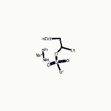 CCCCCCCCCC(CC)OS(=O)(=O)[O-].CCCN.[Na+]